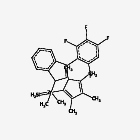 CC1=C(C)C(C)[C]([Zr]([CH3])([CH3])(=[SiH2])[CH]2C=C(c3c(F)cc(F)c(F)c3F)c3ccccc32)=C1C